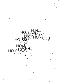 Nc1ccc2cc(C(=O)O)cc(O)c2c1N=Nc1ccc(NC(=O)Nc2ccc(N=Nc3c(N)ccc4cc(C(=O)O)cc(O)c34)cc2S(=O)(=O)O)c(S(=O)(=O)O)c1